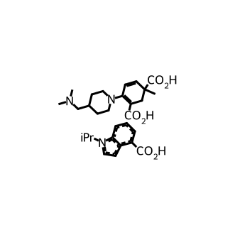 CC(C)n1ccc2c(C(=O)O)cccc21.CN(C)CC1CCN(C2=C(C(=O)O)CC(C)(C(=O)O)C=C2)CC1